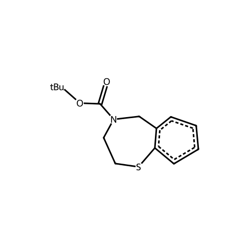 CC(C)(C)OC(=O)N1CCSc2ccccc2C1